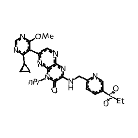 CCCn1c(=O)c(NCc2ccc(S(=O)(=O)CC)cn2)nc2ncc(-c3c(OC)ncnc3C3CC3)nc21